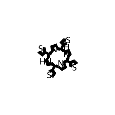 C1=Cc2nc1c(-c1ccsc1)c1ccc([nH]1)c(-c1ccsc1)c1nc(c(-c3ccsc3)c3ccc([nH]3)c2-c2ccsc2)C=C1